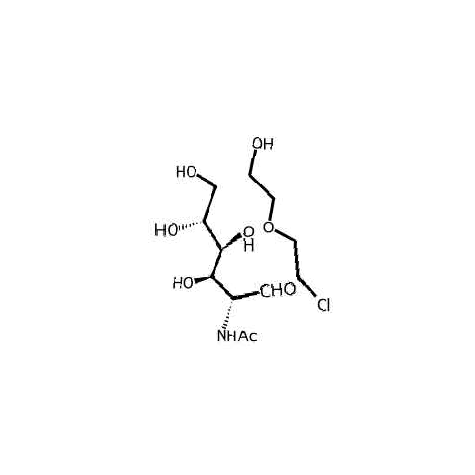 CC(=O)N[C@@H](C=O)[C@@H](O)[C@H](O)[C@H](O)CO.OCCOCCCl